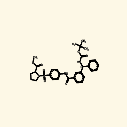 COC(=O)C1CCCN1S(=O)(=O)c1ccc(NC(=O)c2cccc([C@@H](NC(=O)OC(C)(C)C)c3ccccc3)c2)cc1